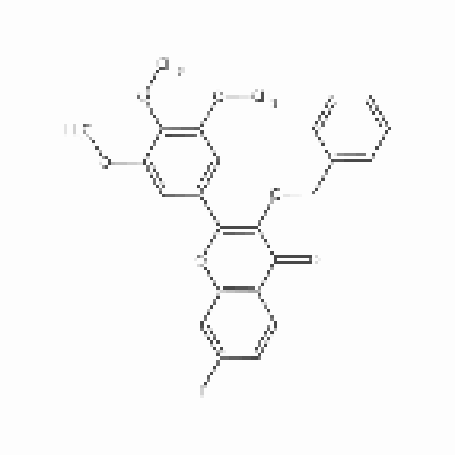 COc1cc(-c2oc3cc(I)ccc3c(=O)c2OCc2ccccc2)cc(OC)c1OC